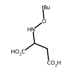 CC(C)(C)ONC(CC(=O)O)C(=O)O